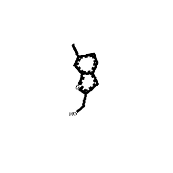 Cc1ccc2cc(CO)oc2c1